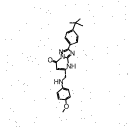 COc1ccc(NCc2cc(=O)n3nc(-c4ccc(C(C)(C)C)cc4)nc3[nH]2)cc1